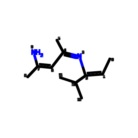 C\C=C(/N=C(C)\C=C(\C)N)C(C)C